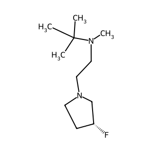 CN(CCN1CC[C@@H](F)C1)C(C)(C)C